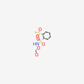 CS(=O)(=O)c1ccccc1S(=O)(=O)NOC=O